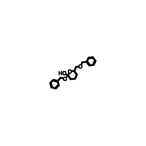 OC1(OCc2ccccc2)CCCC(COCc2ccccc2)O1